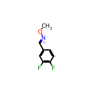 CO/N=C/c1c[c]c(F)c(F)c1